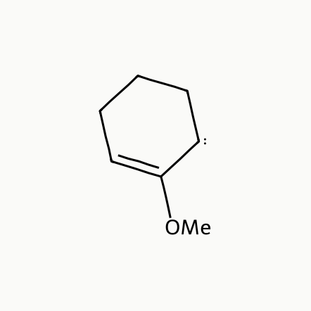 COC1=CCCC[C]1